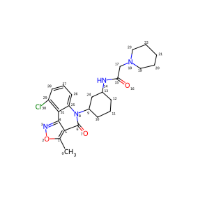 Cc1onc2c1c(=O)n(C1CCCC(NC(=O)CN3CCCCC3)C1)c1cccc(Cl)c21